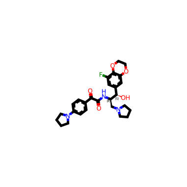 O=C(N[C@H](CN1CCCC1)[C@@H](O)c1cc(F)c2c(c1)OCCO2)C(=O)c1ccc(N2CCCC2)cc1